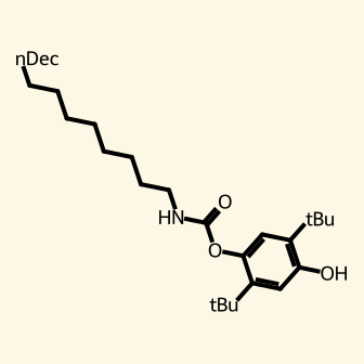 CCCCCCCCCCCCCCCCCCNC(=O)Oc1cc(C(C)(C)C)c(O)cc1C(C)(C)C